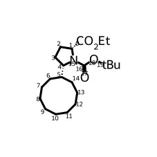 CCOC(=O)[C@H]1CC[C@@H](C2CCCCCCCCC2)N1C(=O)OC(C)(C)C